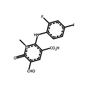 Cn1c(Nc2ccc(I)cc2F)c(C(=O)O)cc(C=O)c1=O